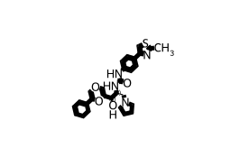 Cc1nc(-c2ccc(NC(=O)N[C@H](CN3CCCC3)[C@@H](O)C3=COC=C(C4=CC=CCC4)O3)cc2)cs1